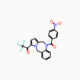 O=C(c1ccc([N+](=O)[O-])cc1)N1Cc2ccc(C(=O)C(F)(F)F)n2Cc2ccccc21